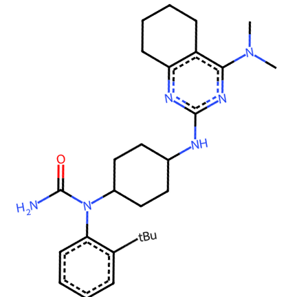 CN(C)c1nc(NC2CCC(N(C(N)=O)c3ccccc3C(C)(C)C)CC2)nc2c1CCCC2